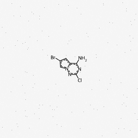 Nc1nc(Cl)nn2cc(Br)cc12